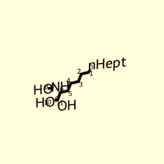 CCCCCCCCCCCCC(NO)C(O)O